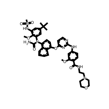 COc1cc(Nc2nccc(Oc3ccc(N(C(N)=O)c4cc(C(C)(C)C)cc(NS(C)(=O)=O)c4OC)c4ccccc34)n2)ccc1C(=O)NCCN1CCOCC1